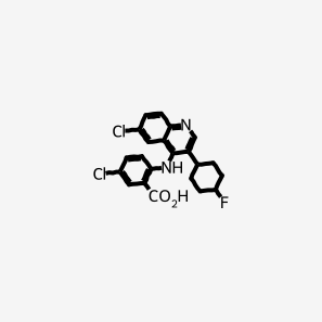 O=C(O)c1cc(Cl)ccc1Nc1c(C2CCC(F)CC2)cnc2ccc(Cl)cc12